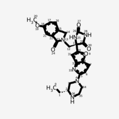 CC[C@@H]1CN(c2ccc3oc([C@]4(CN5Cc6ccc(OC)cc6C5=O)NC(=O)NC4=O)cc3n2)CCN1